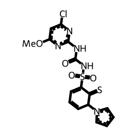 COc1cc(Cl)nc(NC(=O)NS(=O)(=O)C2=CC=CC(n3cccc3)C2=S)n1